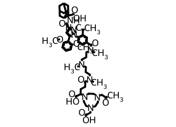 COc1cccc(OC)c1-c1cc(C(=O)NC2(C(=O)O)C3CC4CC(C3)CC2C4)nn1-c1ccc(C(=O)N(C)CCCN(C)CCCN(C)C(=O)CCC(C(=O)O)N2CCN(CC(C)=O)CCN(CC(=O)O)CC2)cc1C(C)C